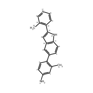 Cc1cc(N)ccc1-c1ccc2[nH]c(-c3ccncc3C)cc2c1